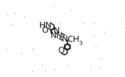 CC(c1ccc2c(c1)OCCC2)N1CCN(c2ncc3c(n2)CCNC3=O)CC1